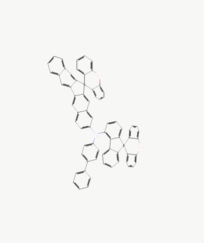 c1ccc(-c2ccc(N(c3ccc4cc5c(cc4c3)C3(c4ccccc4Oc4ccccc43)c3cc4ccccc4cc3-5)c3cccc4c3-c3ccccc3C43c4ccccc4Oc4ccccc43)cc2)cc1